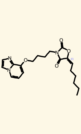 CCCCC/C=C1/OC(=O)N(CCCCOc2cccn3ccnc23)C1=O